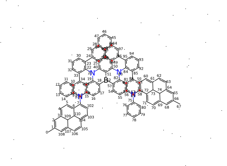 CC1=CC2=CC=C3C(N(c4ccccc4)c4ccc5c(c4)N(c4c(-c6ccccc6)cccc4-c4ccccc4)c4cc(-c6ccccc6)cc6c4B5c4ccc(N(C5=CC=C7C=CC8=CC(C)=CC9=CC=C5C7C98)c5ccccc5)cc4N6c4c(-c5ccccc5)cccc4-c4ccccc4)=CC=C4C=CC(=C1)C2C43